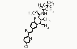 C/N=C(/NC(=O)OC(C)(C)C)SC(C)[C@@H](C)c1cc(/C=C(\F)c2cnc(Cl)cn2)ccc1F